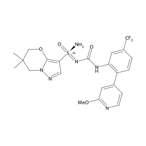 COc1cc(-c2ccc(C(F)(F)F)cc2NC(=O)N=[S@@](N)(=O)c2cnn3c2OCC(C)(C)C3)ccn1